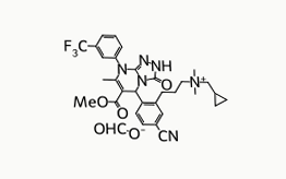 COC(=O)C1=C(C)N(c2cccc(C(F)(F)F)c2)c2n[nH]c(=O)n2C1c1ccc(C#N)cc1CCC[N+](C)(C)CC1CC1.O=C[O-]